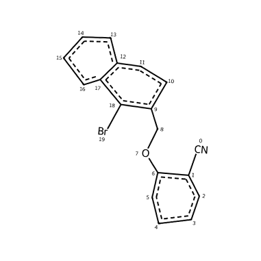 N#Cc1ccccc1OCc1ccc2ccccc2c1Br